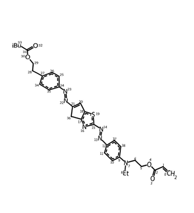 C=CC(=O)OCCN(CC)c1ccc(/N=N/c2nc3c(s2)C=C(/N=N/c2ccc(CCOC(=O)C(C)CC)cc2)C3)cc1